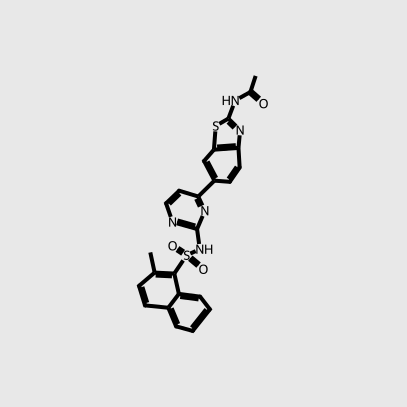 CC(=O)Nc1nc2ccc(-c3ccnc(NS(=O)(=O)c4c(C)ccc5ccccc45)n3)cc2s1